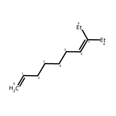 C=CCCCCC=C(CC)CC